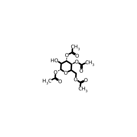 CC(=O)OCC1O[C@H](OC(C)=O)C(O)[C@H](OC(C)=O)[C@H]1OC(C)=O